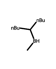 CBC(CCCC)CCCC